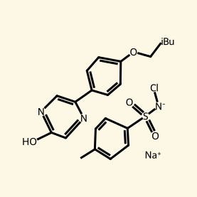 CCC(C)COc1ccc(-c2cnc(O)cn2)cc1.Cc1ccc(S(=O)(=O)[N-]Cl)cc1.[Na+]